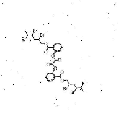 CC(Br)C(Br)CC(Br)COC(=O)c1ccccc1OC(=O)C(=O)Oc1ccccc1C(=O)OCC(Br)CC(Br)C(C)Br